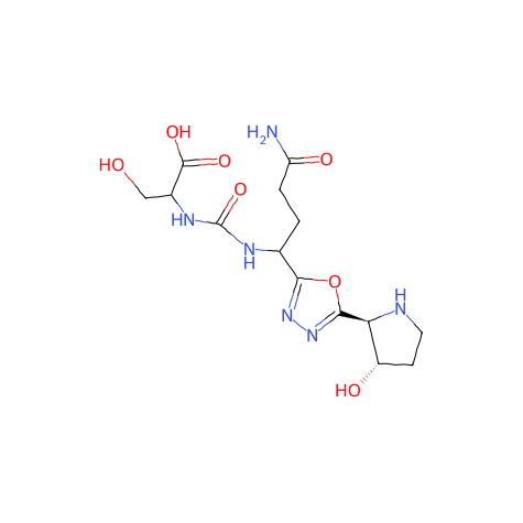 NC(=O)CCC(NC(=O)NC(CO)C(=O)O)c1nnc([C@H]2NCC[C@@H]2O)o1